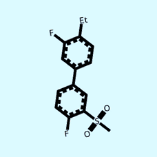 CCc1ccc(-c2ccc(F)c(S(C)(=O)=O)c2)cc1F